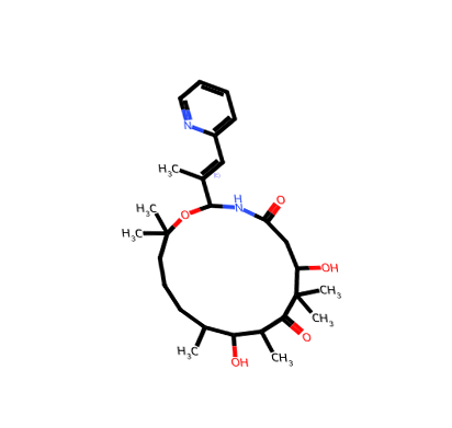 C/C(=C\c1ccccn1)C1NC(=O)CC(O)C(C)(C)C(=O)C(C)C(O)C(C)CCCC(C)(C)O1